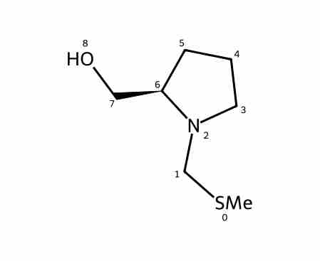 CSCN1CCC[C@@H]1CO